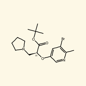 Cc1ncc(O[C@@H](CN2CCCC2)C(=O)OC(C)(C)C)cc1Br